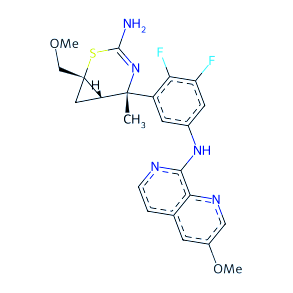 COC[C@]12C[C@H]1[C@@](C)(c1cc(Nc3nccc4cc(OC)cnc34)cc(F)c1F)N=C(N)S2